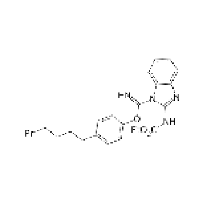 CCOC(=O)Nc1nc2ccccc2n1C(=N)Oc1ccc(CCCCC(C)C)cc1